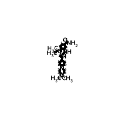 CC(C)Oc1ccc(C(N)=O)cc1Nc1nc(-c2ccc(N3CCN(C(C)C)CC3)cc2)cs1